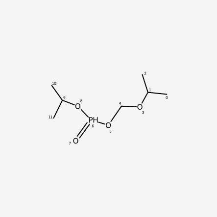 CC(C)OCO[PH](=O)OC(C)C